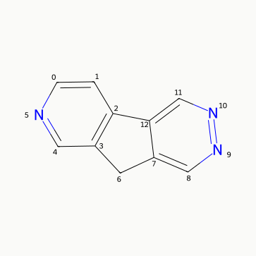 c1cc2c(cn1)Cc1cnncc1-2